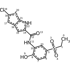 CCS(=O)(=O)c1ccc(O)c(NC(=O)c2cc3cc(Cl)sc3[nH]2)c1